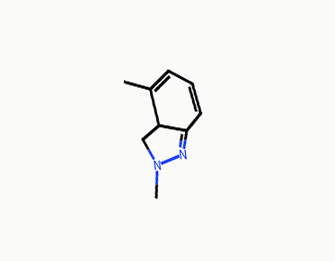 CC1=CC=CC2=NN(C)CC12